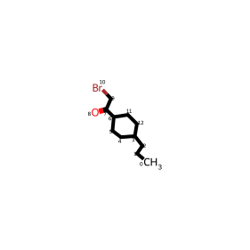 CCCC1CCC(C(=O)CBr)CC1